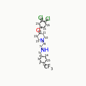 FC(F)(F)c1ccc(CNCCN2CCC(Oc3ccc(Cl)c(Cl)c3)CC2)cc1